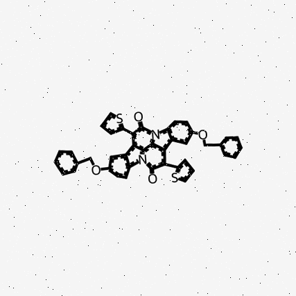 O=c1c(-c2cccs2)c2c3cc(OCc4ccccc4)ccc3n3c(=O)c(-c4cccs4)c4c5cc(OCc6ccccc6)ccc5n1c4c23